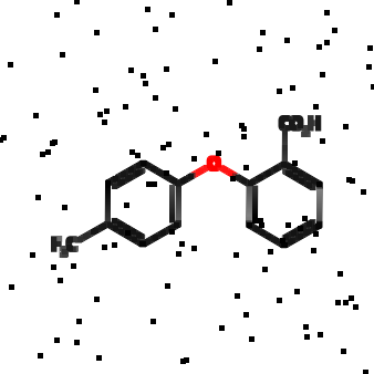 O=C(O)c1ccccc1Oc1ccc(C(F)(F)F)cc1